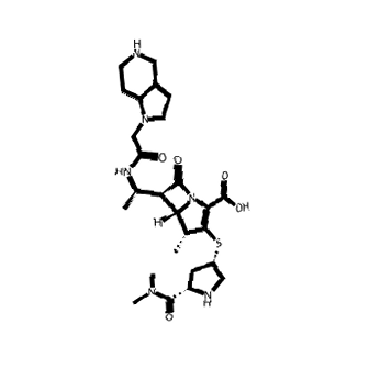 C[C@@H](NC(=O)CN1CCC2CNCCC21)[C@H]1C(=O)N2C(C(=O)O)=C(S[C@@H]3CN[C@H](C(=O)N(C)C)C3)[C@H](C)[C@H]12